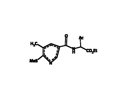 CCOC(=O)C(NC(=O)c1cnc(SC)c(C)c1)C(C)=O